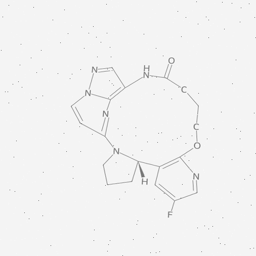 O=C1CCCOc2ncc(F)cc2[C@@H]2CCCN2c2ccn3ncc(c3n2)N1